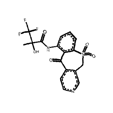 CC(O)(C(=O)Nc1cccc2c1C(=O)c1ccncc1CS2(=O)=O)C(F)(F)F